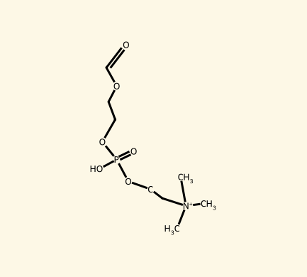 C[N+](C)(C)CCOP(=O)(O)OCCOC=O